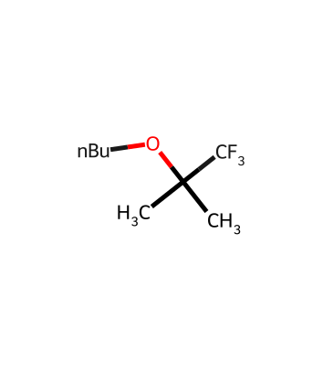 CCCCOC(C)(C)C(F)(F)F